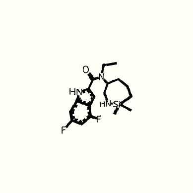 CCN(C(=O)c1cc2c(F)cc(F)cc2[nH]1)C1CCC[Si](C)(C)NC1